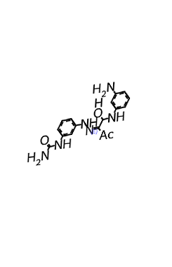 CC(=O)/C(=N/Nc1cccc(NC(N)=O)c1)C(O)Nc1cccc(N)c1